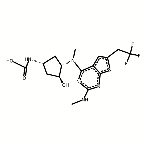 CNc1nc(N(C)[C@H]2C[C@@H](NC(=O)O)C[C@@H]2O)c2cc(CC(F)(F)F)sc2n1